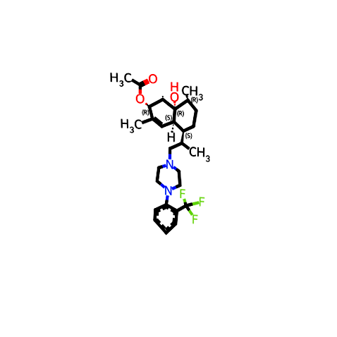 CC(=O)O[C@@H]1[CH][C@@]2(O)[C@H](C)CC[C@@H](C(C)CN3CCN(c4ccccc4C(F)(F)F)CC3)[C@H]2C=C1C